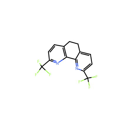 FC(F)(F)c1ccc2c(n1)-c1nc(C(F)(F)F)ccc1CC2